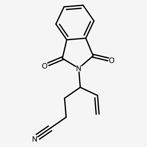 C=CC(CCC#N)N1C(=O)c2ccccc2C1=O